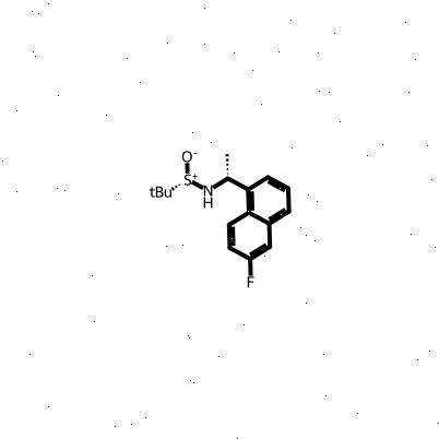 C[C@@H](N[S@@+]([O-])C(C)(C)C)c1cccc2cc(F)ccc12